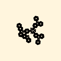 c1ccc(-n2c3ccccc3c3cc(-c4nc(-c5ccc(-n6c7ccccc7c7cc8ccccc8cc76)c(-c6cccc7c6sc6ccccc67)c5)nc(-c5ccc6c(c5)c5ccccc5n6-c5ccccc5)n4)ccc32)cc1